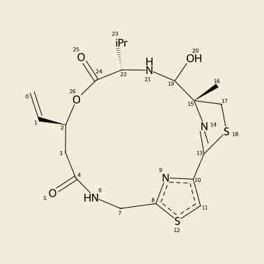 C=C[C@@H]1CC(=O)NCc2nc(cs2)C2=N[C@@](C)(CS2)C(O)N[C@@H](C(C)C)C(=O)O1